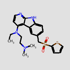 CCN(CCN(C)C)c1ccnc2[nH]c3ccc(CS(=O)(=O)c4cccs4)cc3c12